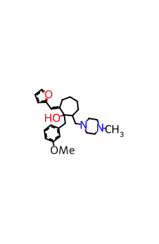 COc1cccc(CC2(O)C(=Cc3ccco3)CCCCC2CN2CCN(C)CC2)c1